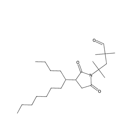 CCCCCCCC(CCCC)C1CC(=O)N(C(C)(C)CC(C)(C)C=O)C1=O